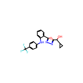 OC(c1nnc(-c2ccccc2Nc2ccc(C(F)(F)F)cc2)o1)C1CC1